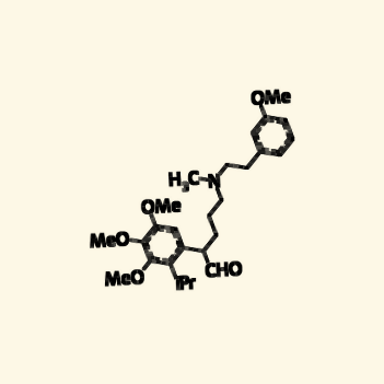 COc1cccc(CCN(C)CCCC(C=O)c2cc(OC)c(OC)c(OC)c2C(C)C)c1